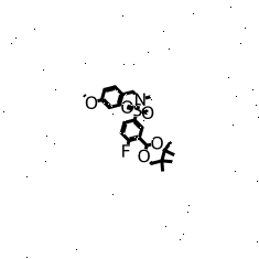 COc1ccc(CN(C)S(=O)(=O)c2ccc(F)c(C3OCC(C)(C)C(C)(C)O3)c2)cc1